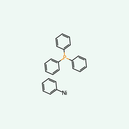 [Ni][c]1ccccc1.c1ccc(P(c2ccccc2)c2ccccc2)cc1